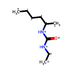 CCCCC(C)NC(=O)NCC